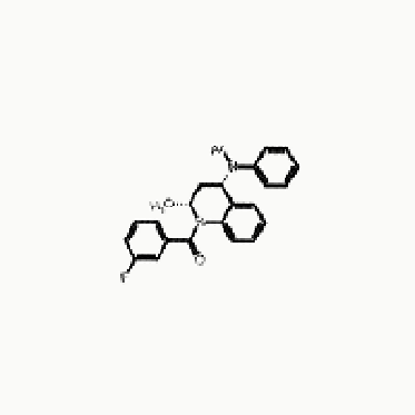 CC(=O)N(c1ccccc1)[C@H]1C[C@@H](C)N(C(=O)c2cccc(F)c2)c2ccccc21